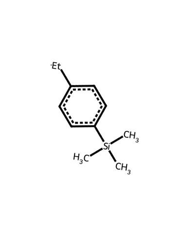 C[CH]c1ccc([Si](C)(C)C)cc1